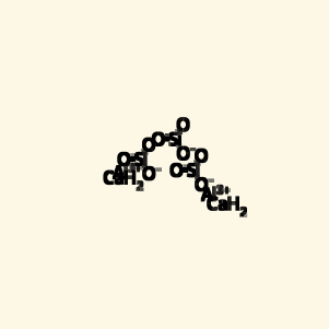 O=[Si]([O-])[O-].O=[Si]([O-])[O-].O=[Si]([O-])[O-].[Al+3].[Al+3].[CaH2].[CaH2]